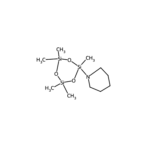 C[Si]1(C)O[Si](C)(C)O[Si](C)(N2CCCCC2)O1